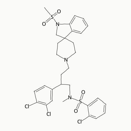 CN(CC(CCN1CCC2(CC1)CN(S(C)(=O)=O)c1ccccc12)c1ccc(Cl)c(Cl)c1)S(=O)(=O)c1ccccc1Cl